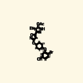 CCN1C(c2cc(OC3CCC(Oc4cc(Cl)ccc4Br)CC3)no2)=NNN1OC(C)=O